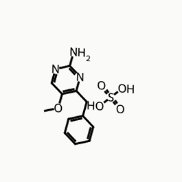 COc1cnc(N)nc1Cc1ccccc1.O=S(=O)(O)O